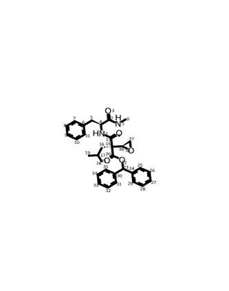 CNC(=O)[C@H](Cc1ccccc1)NC(=O)[C@](CC(C)C)(C(=O)OC(c1ccccc1)c1ccccc1)[C@H]1CO1